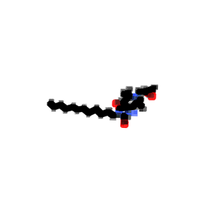 CCCCCCCCCCCCN1C(=O)NC2(CC(C)(C)N(CC3CO3)C(C)(C)C2)C1=O